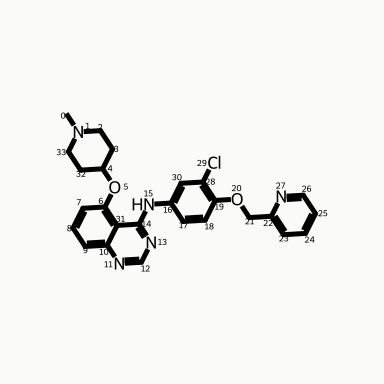 CN1CCC(Oc2cccc3ncnc(Nc4ccc(OCc5ccccn5)c(Cl)c4)c23)CC1